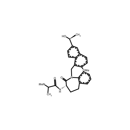 CNC(C)C(=O)N[C@H]1CCc2ccccc2N(Cc2c(OC)ccc3cc([C@H](C)O)ccc23)C1=O